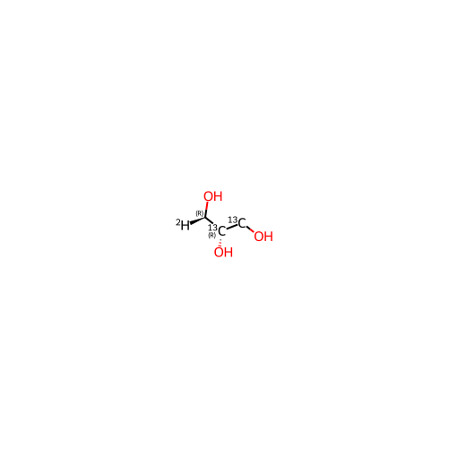 [2H][C@@H](O)[13C@@H](O)[13CH2]O